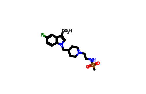 CS(=O)(=O)NCCN1CCC(Cn2cc(C(=O)O)c3cc(F)ccc32)CC1